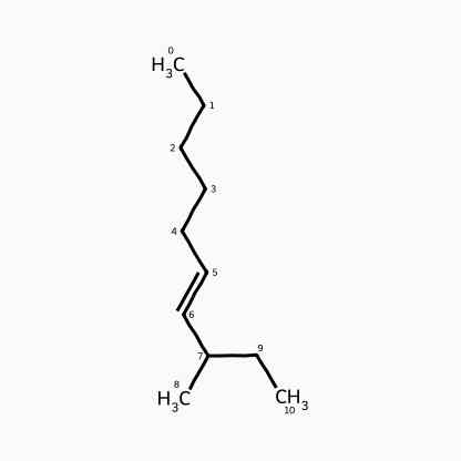 CCCCC/C=C/C(C)CC